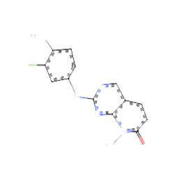 CCCCCn1c(=O)ccc2cnc(Nc3ccc(OC)c(F)c3)nc21